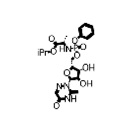 C=C1NC(=O)C=NN1[C@@H]1O[C@H](CO[P@@](=O)(N[C@@H](C)C(=O)OC(C)C)Oc2ccccc2)[C@H](O)C1O